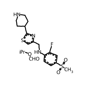 CC(C)OC=O.CS(=O)(=O)c1ccc(NCc2csc(C3CCNCC3)n2)c(F)c1